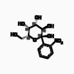 O=[N+]([O-])c1ccccc1[C@]1(O)O[C@H](CO)[C@H](O)[C@H](O)[C@H]1O